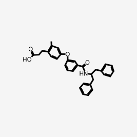 Cc1cc(Oc2cccc(C(=O)NC(Cc3ccccc3)Cc3ccccc3)c2)ccc1CCC(=O)O